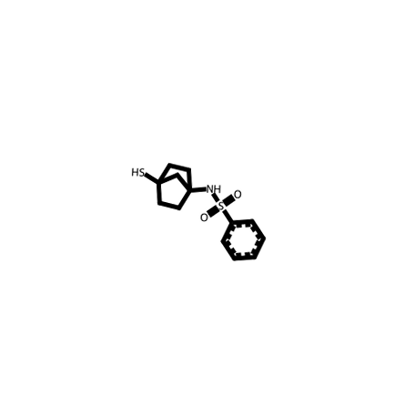 O=S(=O)(NC12CCC(S)(CC1)C2)c1ccccc1